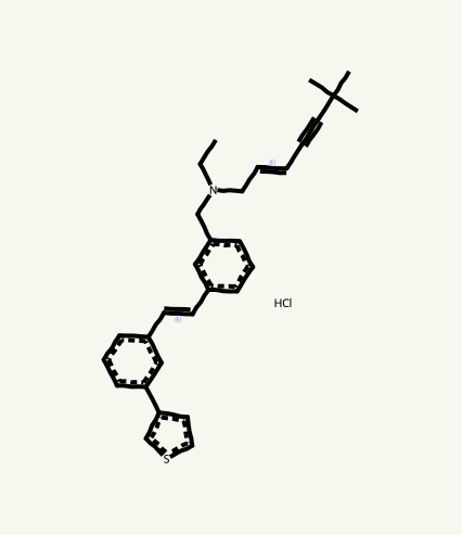 CCN(C/C=C/C#CC(C)(C)C)Cc1cccc(/C=C/c2cccc(-c3ccsc3)c2)c1.Cl